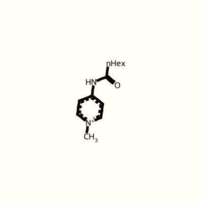 CCCCCCC(=O)Nc1cc[n+](C)cc1